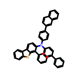 c1ccc(-c2ccc(N(c3ccc(-c4ccc5ccccc5c4)cc3)c3ccc4c(sc5ccccc54)c3-c3ccccc3)cc2)cc1